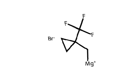 FC(F)(F)C1([CH2][Mg+])CC1.[Br-]